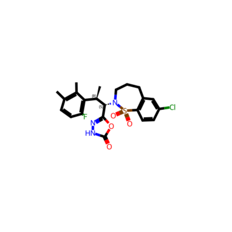 Cc1ccc(F)c([C@@H](C)[C@@H](c2n[nH]c(=O)o2)N2CCCc3cc(Cl)ccc3S2(=O)=O)c1C